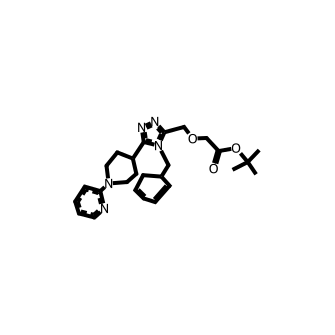 CC(C)(C)OC(=O)COCc1nnc(C2CCN(c3ccccn3)CC2)n1CC1C=CC=CC1